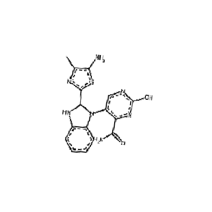 Cc1nc(C2Nc3ccccc3N2c2cnc(O)nc2C(N)=O)sc1N